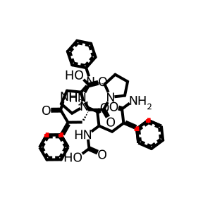 NC(=O)C(CC(NC(=O)O)C(=O)N1CCCC1N(c1ccccc1)[C@@H]1CCCN1C(=O)[C@H](CC(C(N)=O)=C1Cc2ccc1cc2)NC(=O)O)=C1Cc2ccc1cc2